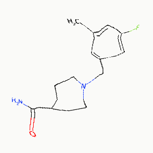 Cc1cc(F)cc(CN2CCC(C(N)=O)CC2)c1